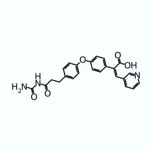 NC(=O)NC(=O)CCc1ccc(Oc2ccc(C(=Cc3cccnc3)C(=O)O)cc2)cc1